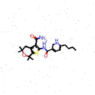 CCCCC1=CC=C(C(=O)Nc2sc3c(c2C(N)=O)CC(C)(C)OC3(C)C)CN1